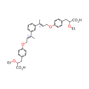 CCOC(Cc1ccc(OC/C=C(\C)c2cccc(/C(C)=C/COc3ccc(CC(OCC)C(=O)O)cc3)c2)cc1)C(=O)O